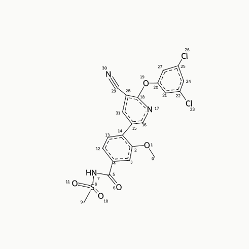 COc1cc(C(=O)NS(C)(=O)=O)ccc1-c1cnc(Oc2cc(Cl)cc(Cl)c2)c(C#N)c1